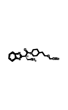 COCOCCC1CCN(C(=O)[C@H](CN)c2nc3ccccc3s2)CC1